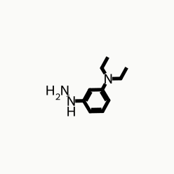 CCN(CC)c1cccc(NN)c1